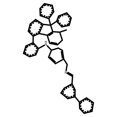 CC1CC=CC2=C1C(c1ccccc1)(c1ccccc1)c1cccc(-c3ccccc3NC3C=CC(C/N=C/c4cccc(-c5ccccc5)c4)=CC3)c12